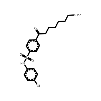 CCCCCCCCCCCCCCCCC(=O)c1ccc(S(=O)(=O)Nc2ccc(O)cc2)cc1